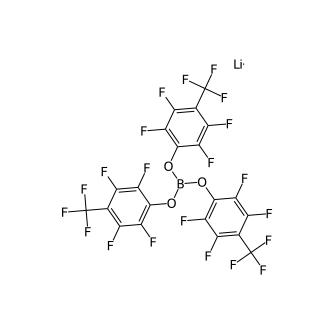 Fc1c(F)c(C(F)(F)F)c(F)c(F)c1OB(Oc1c(F)c(F)c(C(F)(F)F)c(F)c1F)Oc1c(F)c(F)c(C(F)(F)F)c(F)c1F.[Li]